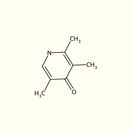 CC1=C[N]C(C)=C(C)C1=O